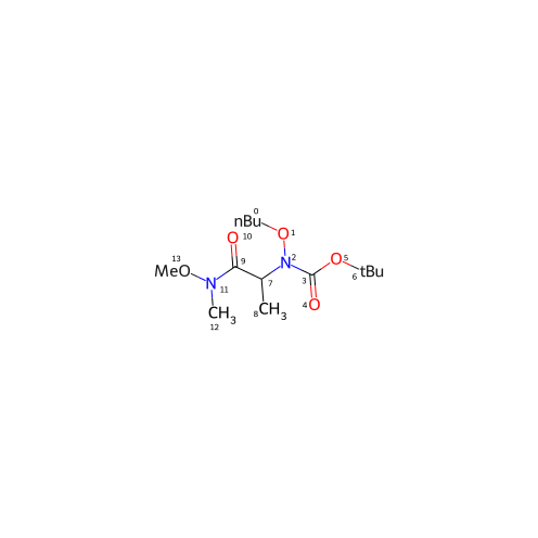 CCCCON(C(=O)OC(C)(C)C)C(C)C(=O)N(C)OC